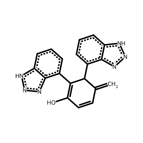 C=C1C=CC(O)=C(c2cccc3[nH]nnc23)C1c1cccc2[nH]nnc12